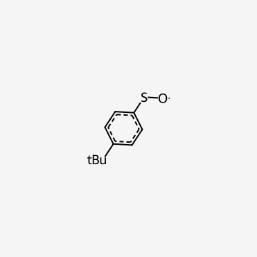 CC(C)(C)c1ccc(S[O])cc1